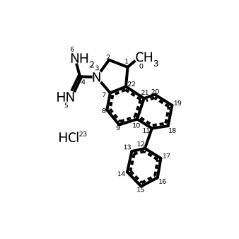 CC1CN(C(=N)N)c2ccc3c(-c4ccccc4)cccc3c21.Cl